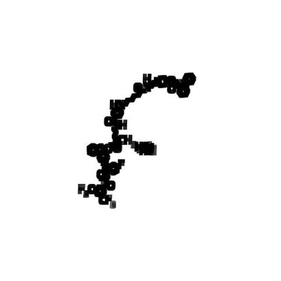 CN(CCCNC(=O)c1ccc(NCCCCCC(=O)CNCCN2CCC(OC(=O)Nc3ccccc3-c3ccccc3)CC2)cc1)C(=O)CO[C@H]1Cc2ccccc2C12CCN(CC[C@@]1(c3ccc(F)cc3)CN(C(=O)c3cc(C(F)(F)F)cc(C(F)(F)F)c3)CO1)CC2.Cl.Cl.Cl